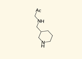 CC(=O)CNCC1CCCNC1